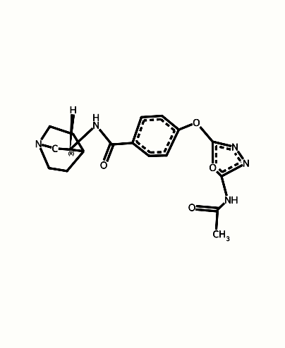 CC(=O)Nc1nnc(Oc2ccc(C(=O)N[C@H]3CN4CCC3CC4)cc2)o1